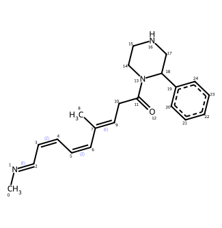 C/N=C/C=C\C=C/C(C)=C/CC(=O)N1CCNCC1c1ccccc1